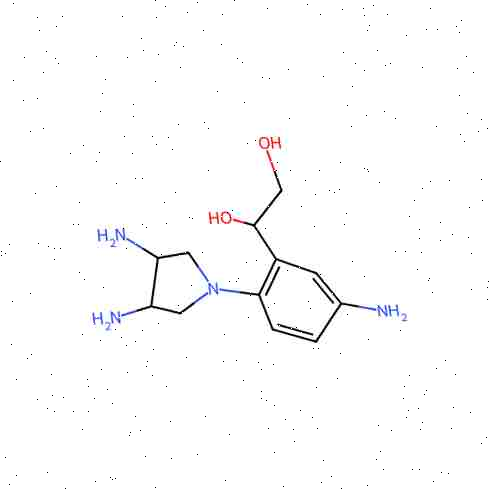 Nc1ccc(N2CC(N)C(N)C2)c(C(O)CO)c1